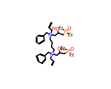 C=CC[N+](CCCC[N+](CC=C)(Cc1ccccc1)CC(O)CP(=O)(CC)CC)(Cc1ccccc1)CC(O)CP(=O)(CC)CC